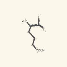 CC(CCCC(=O)O)=C(F)F